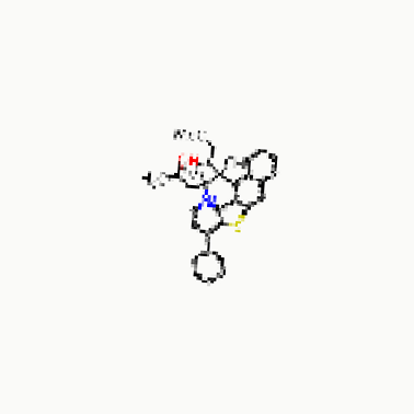 C=C(O)CC1(C)[n+]2ccc(-c3ccccc3)c3sc4cc5ccccc5c(c4c32)C1(C)CCOC